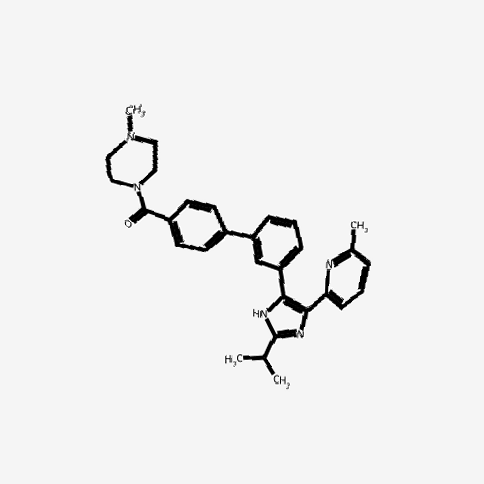 Cc1cccc(-c2nc(C(C)C)[nH]c2-c2cccc(-c3ccc(C(=O)N4CCN(C)CC4)cc3)c2)n1